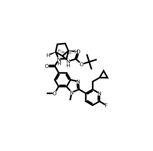 COc1cc(C(=O)N2C[C@H]3CC[C@@H]2[C@@H]3NC(=O)OC(C)(C)C)cc2nc(-c3ccc(F)nc3CC3CC3)n(C)c12